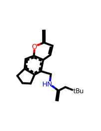 C=C(CC(C)(C)C)NCc1c2c(cc3c1CCC3)OC(=C)C=C2